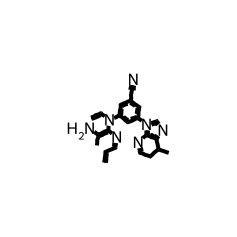 C=C/C=N\C(=C(/C)N)N(C=C)c1cc(C#N)cc(-n2cnc3c2N=CCC3C)c1